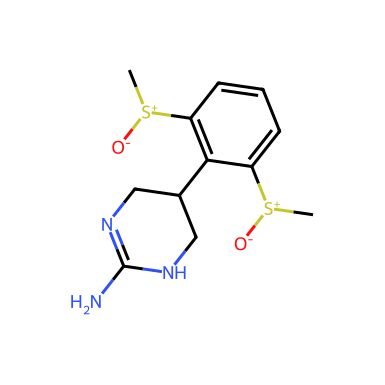 C[S+]([O-])c1cccc([S+](C)[O-])c1C1CN=C(N)NC1